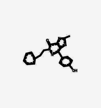 Cc1nc2c(=O)n(CCc3ccccc3)nc(-c3ccc(O)cc3)c2s1